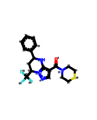 O=C(c1cnn2c1NC(c1ccccc1)CC2C(F)(F)F)N1CCSCC1